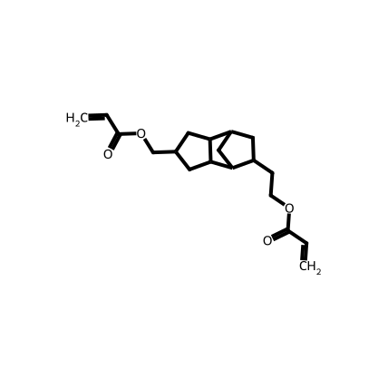 C=CC(=O)OCCC1CC2CC1C1CC(COC(=O)C=C)CC21